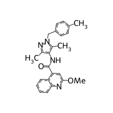 COc1cc(C(=O)Nc2c(C)nn(Cc3ccc(C)cc3)c2C)c2ccccc2n1